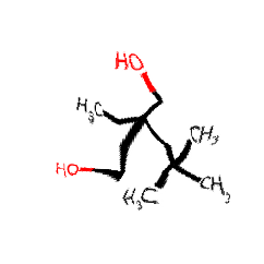 CC(C)(C)C(C)(CO)CO